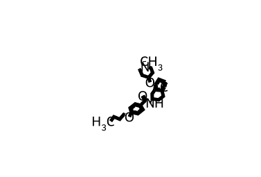 CCCCOc1ccc(C(=O)N[C@@H]2CCc3cccc(OC4CCN(C)CC4)c3C2)cc1